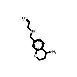 C=CCNCc1ccc2c(c1)OCCC2N